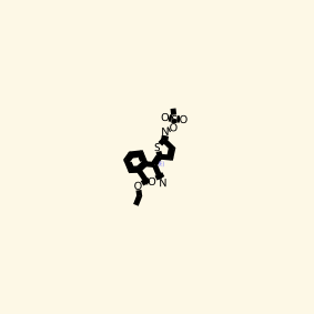 CCOC(=O)c1ccccc1/C(C#N)=C1/C=CC(=NOS(C)(=O)=O)S1